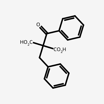 O=C(O)C(Cc1ccccc1)(C(=O)O)C(=O)c1ccccc1